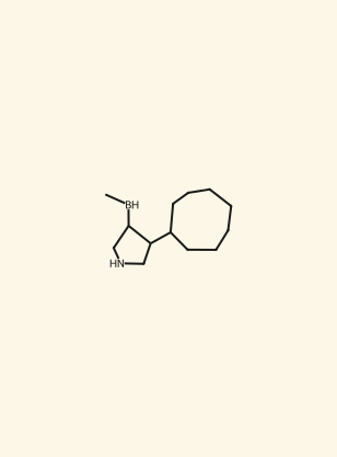 CBC1CNCC1C1CCCCCCC1